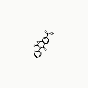 O=C(O)c1ccc2c(=O)n(-c3ncccn3)c(=S)[nH]c2c1